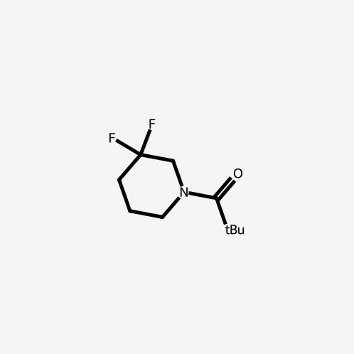 CC(C)(C)C(=O)N1CCCC(F)(F)C1